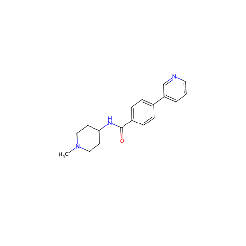 CN1CCC(NC(=O)c2ccc(-c3cccnc3)cc2)CC1